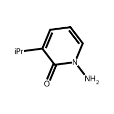 CC(C)c1cccn(N)c1=O